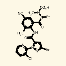 CCN(C(=O)c1cc(C#N)cc(C)c1NC(=O)c1cc(Br)nn1-c1ncccc1Cl)N(C)C(=O)O